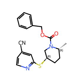 C[C@@H]1CC[C@@H](Sc2cc(C#N)ccn2)CN1C(=O)OCc1ccccc1